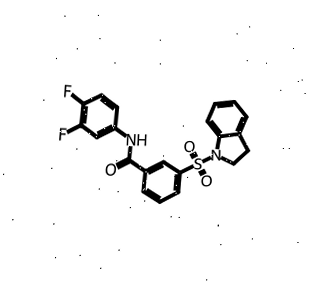 O=C(Nc1ccc(F)c(F)c1)c1cccc(S(=O)(=O)N2CCc3ccccc32)c1